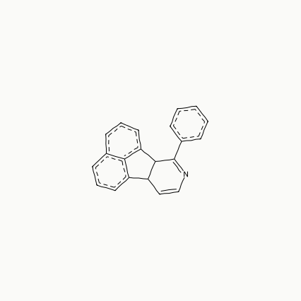 C1=CC2c3cccc4cccc(c34)C2C(c2ccccc2)=N1